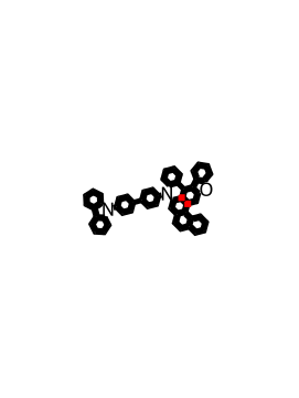 c1ccc(N(c2ccc(-c3ccc(-n4c5ccccc5c5ccccc54)cc3)cc2)c2ccc3c(ccc4ccccc43)c2)c(-c2cccc3oc4ccccc4c23)c1